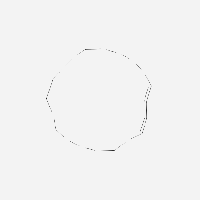 [C]1=C/C=C\CCCCCCCCCCCCCCCC/1